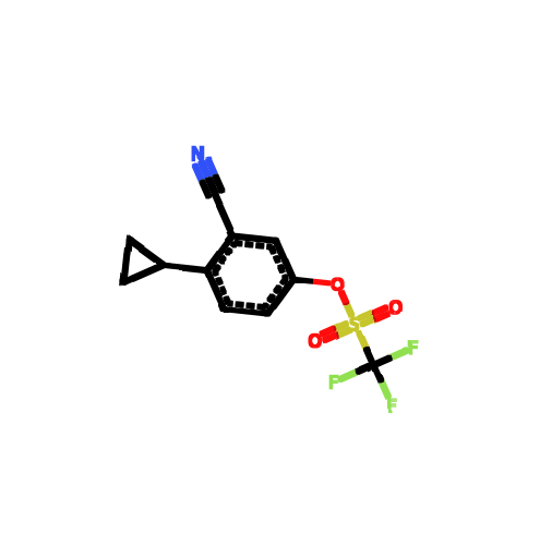 N#Cc1cc(OS(=O)(=O)C(F)(F)F)ccc1C1CC1